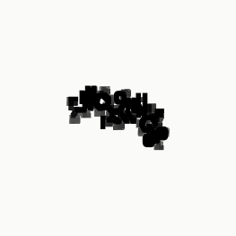 COc1nc(N[C@@H]2CCN(S(C)(=O)=O)CC2(F)F)nn2cc(F)c(-c3ccc4nnn(C[C@@H](C)F)c4c3)c12